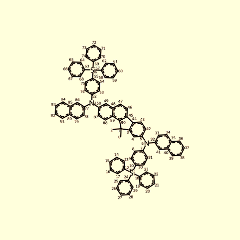 CC1(C)c2cc(N(c3ccc([Si](c4ccccc4)(c4ccccc4)c4ccccc4)cc3)c3ccc4ccccc4c3)ccc2-c2ccc3cc(N(c4ccc([Si](c5ccccc5)(c5ccccc5)c5ccccc5)cc4)c4ccc5ccccc5c4)ccc3c21